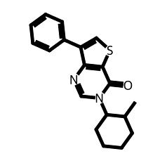 CC1CCCCC1n1cnc2c(-c3ccccc3)csc2c1=O